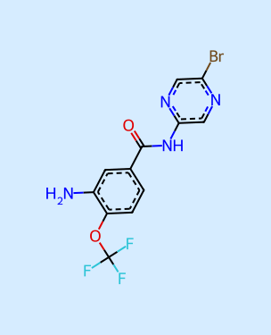 Nc1cc(C(=O)Nc2cnc(Br)cn2)ccc1OC(F)(F)F